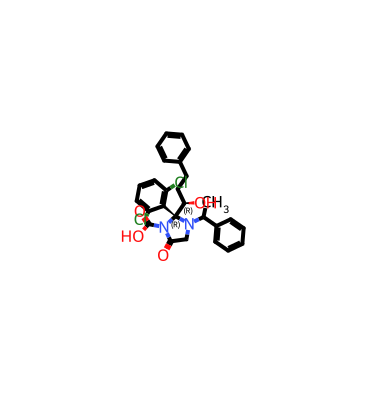 CC(c1ccccc1)N1CC(=O)N(C(=O)O)[C@]1(c1c(Cl)cccc1Cl)[C@H](O)CCc1ccccc1